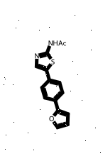 CC(=O)Nc1ncc(-c2ccc(-c3ccco3)cc2)s1